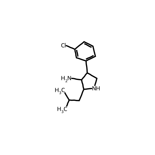 CC(C)CC1NCC(c2cccc(Cl)c2)C1N